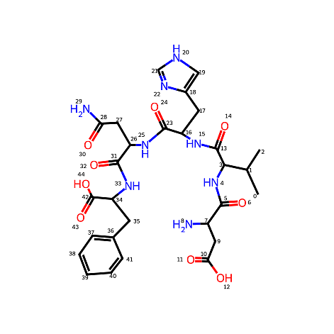 CC(C)C(NC(=O)C(N)CC(=O)O)C(=O)NC(Cc1c[nH]cn1)C(=O)NC(CC(N)=O)C(=O)NC(Cc1ccccc1)C(=O)O